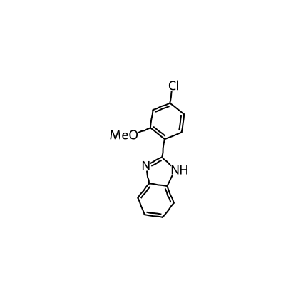 COc1cc(Cl)ccc1-c1nc2ccccc2[nH]1